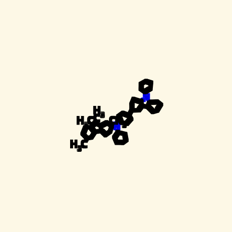 CC1C=CC2=C(C1)C1=CCC(C)(N(c3ccccc3)c3ccc(-c4ccc5c(c4)c4ccccc4n5-c4ccccc4)cc3)C=C1C2(C)C